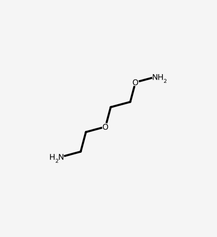 NCCOCCON